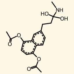 CNC(O)(O)CCc1ccc2c(OC(C)=O)ccc(OC(C)=O)c2c1